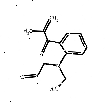 C=C(C)C(=O)c1ccccc1N(CC)CC=O